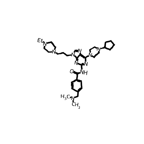 CCN1CCN(CCCn2cnc3c(N4CCN(C5CCCC5)CC4)nc(NC(=O)c4ccc(CN(C)C)cc4)nc32)CC1